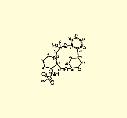 C[C@H]1CN2CCCC(NS(C)(=O)=O)C2COC2CCC(CC2)c2ccccc2O1